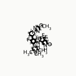 COc1cnc(N2CCC=C(c3c(F)cc(N4CC(C)N(C)C(C)C4)c(NC(=O)c4c[nH]c(=O)cc4C(F)(F)F)c3F)C2)nc1